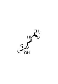 CC(=O)NCCOP(=O)(O)Cl